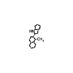 Cc1c(-c2cc3ccccc3[nH]2)ccc2ccccc12